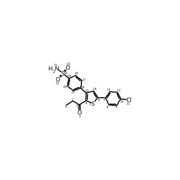 CCC(=O)c1sc(-c2ccc(Cl)cc2)cc1-c1ccc(S(N)(=O)=O)cc1